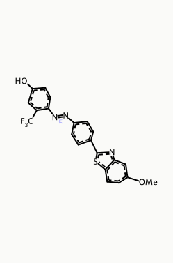 COc1ccc2sc(-c3ccc(/N=N/c4ccc(O)cc4C(F)(F)F)cc3)nc2c1